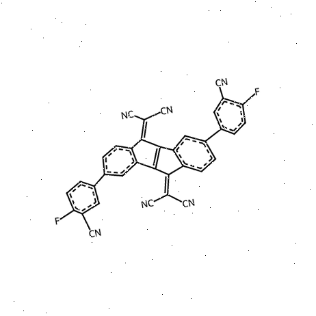 N#CC(C#N)=C1C2=C(C(=C(C#N)C#N)c3ccc(-c4ccc(F)c(C#N)c4)cc32)c2cc(-c3ccc(F)c(C#N)c3)ccc21